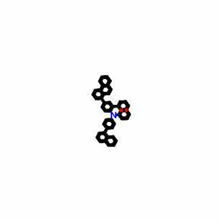 c1ccc(-c2cc(-c3cccc4c3ccc3ccccc34)ccc2N(c2ccccc2)c2ccc(-c3cccc4ccccc34)cc2)cc1